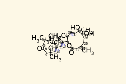 CCC(C)C(C)C1OC1CC(C)(C)/C=C/C=C(\C)C1OC(=O)CC(C)CCC(C)(O)C(O)/C=C/C1C